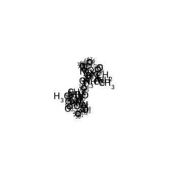 C=C(N[C@H](C(=O)N1C[C@@H](NC(=O)c2ccc(C(=O)N[C@H]3C[C@@H](c4cn5c(-c6ccccc6)cccc5n4)N(C(=O)[C@@H](NC(=O)[C@H](C)NC)C4CCOCC4)C3)cc2)C[C@H]1c1cn2c(-c3ccccc3)cccc2n1)C1CCOCC1)[C@H](C)NC